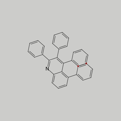 c1ccc(-c2nc3cccc(-c4ccccc4)c3c(-c3ccccc3)c2-c2ccccc2)cc1